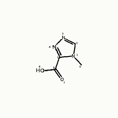 Cn1cnnc1C(=O)O